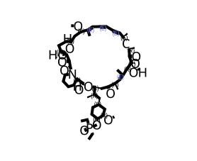 CCP(=O)(CC)O[C@@H]1CC[C@@H](C[C@@H](C)[C@@H]2CC(=O)[C@H](C)/C=C(\C)[C@@H](O)[C@@H](OC)C(=O)[C@H](C)C[C@H](C)/C=C/C=C/C=C(\C)[C@@H](OC)C[C@@H]3CC[C@@H](C)C(O)(O3)C(=O)C(=O)N3CCCC[C@H]3C(=O)O2)C[C@H]1OC